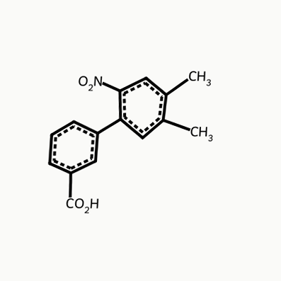 Cc1cc(-c2cccc(C(=O)O)c2)c([N+](=O)[O-])cc1C